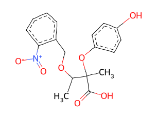 CC(OCc1ccccc1[N+](=O)[O-])C(C)(Oc1ccc(O)cc1)C(=O)O